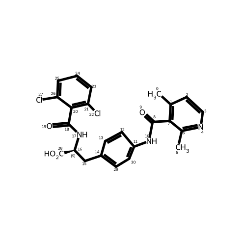 Cc1ccnc(C)c1C(=O)Nc1ccc(C[C@H](NC(=O)c2c(Cl)cccc2Cl)C(=O)O)cc1